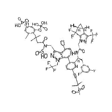 Cc1cc(P(=O)(O)O)cc(OP(=O)(O)O)c1C(C)(C)CC(=O)N(Cc1nn(CC(F)(F)F)c2c(-c3ccc(C#CC(C)(C)S(C)(=O)=O)nc3[C@H](Cc3cc(F)cc(F)c3)NC(=O)Cn3nc(C(F)(F)F)c4c3C(F)(F)[C@@H]3C[C@H]43)ccc(Cl)c12)[SH](=O)=O